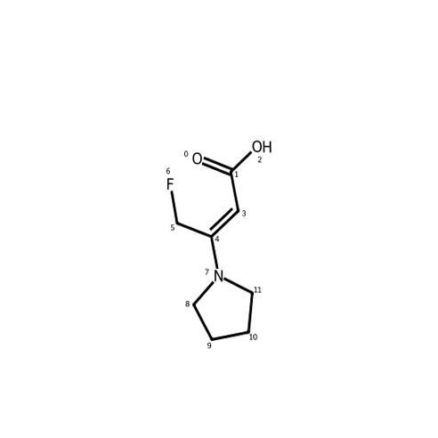 O=C(O)/C=C(\CF)N1CCCC1